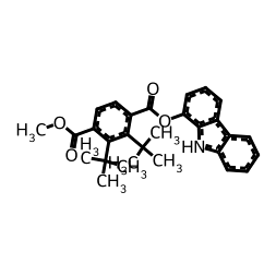 COC(=O)c1ccc(C(=O)Oc2cccc3c2[nH]c2ccccc23)c(C(C)(C)C)c1C(C)(C)C